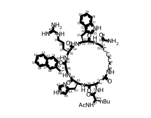 CCCC[C@@H](NC(C)=O)C(=O)N[C@@H]1CC(=O)NCCCC[C@@H](C(N)=O)NC(=O)[C@H](Cc2c[nH]c3ccccc23)NC(=O)[C@H](CCCNC(=N)N)NC(=O)[C@@H](Cc2ccc3ccccc3c2)NC(=O)[C@H](Cc2c[nH]cn2)NC1=O